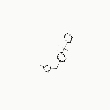 CC(C)c1ncc(Cc2cnc(C(C)(C)c3ccncn3)nc2)s1